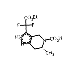 CCOC(=O)C(F)(F)c1[nH]nc2c1CN(C(=O)O)[C@H](C)C2